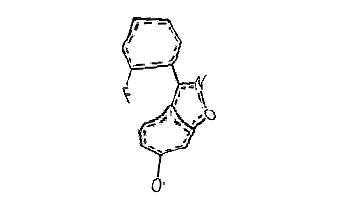 [O]c1ccc2c(-c3ccccc3F)noc2c1